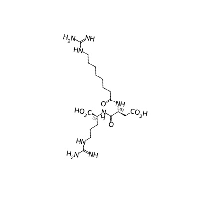 N=C(N)NCCCCCCCC(=O)N[C@@H](CC(=O)O)C(=O)N[C@@H](CCCNC(=N)N)C(=O)O